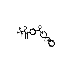 O=C(c1ccc(NC(=O)C(F)(F)F)cc1)N1CCC(O)(Cc2ccccc2)CC1